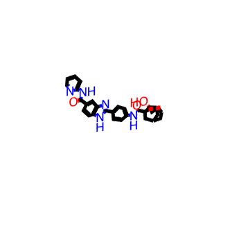 O=C(Nc1ccccn1)c1ccc2[nH]c(-c3ccc(NC(=O)C45CC6CC(CCC4O)C(C6)C5)cc3)nc2c1